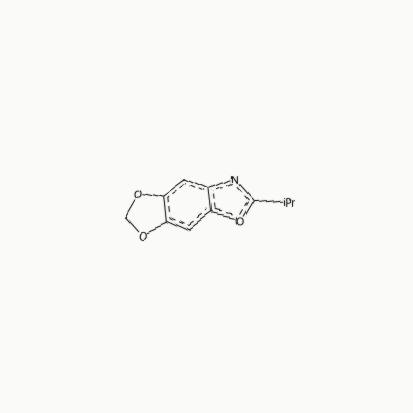 CC(C)c1nc2cc3c(cc2o1)OCO3